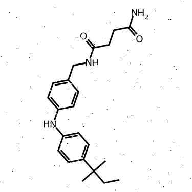 CCC(C)(C)c1ccc(Nc2ccc(CNC(=O)CCC(N)=O)cc2)cc1